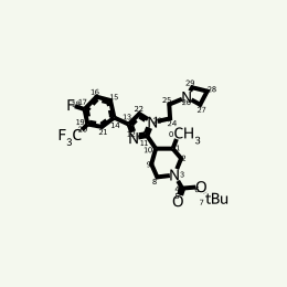 CC1CN(C(=O)OC(C)(C)C)CCC1c1nc(-c2ccc(F)c(C(F)(F)F)c2)cn1CCN1CCC1